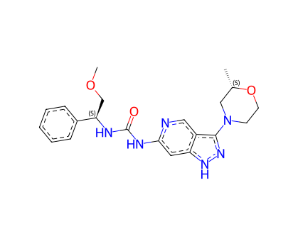 COC[C@@H](NC(=O)Nc1cc2[nH]nc(N3CCO[C@@H](C)C3)c2cn1)c1ccccc1